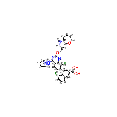 CC(COc1nc(N2CC3CCC(C2)N3)c2cc(Cl)c(-c3cc(B(O)O)cc4ccccc34)c(F)c2n1)CN(C)C1CCCCOC1